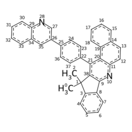 CC1(C)c2ccccc2-c2nc3ccc4ccccc4c3c(-c3ccc(-c4cnc5ccccc5c4)cc3)c21